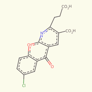 O=C(O)CCc1nc2oc3ccc(Cl)cc3c(=O)c2cc1C(=O)O